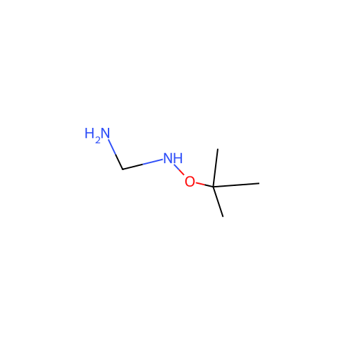 CC(C)(C)ONCN